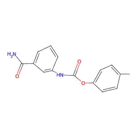 Cc1ccc(OC(=O)Nc2cccc(C(N)=O)c2)cc1